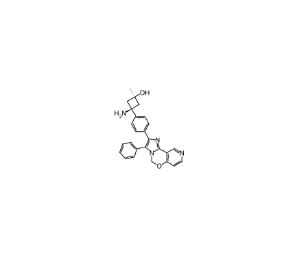 C[C@]1(O)C[C@](N)(c2ccc(-c3nc4n(c3-c3ccccc3)COc3ccncc3-4)cc2)C1